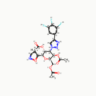 CC(=O)OC[C@H]1O[C@@H](c2ccno2)[C@H](OC(C)=O)[C@@H](n2cc(-c3cc(F)c(F)c(F)c3)nn2)[C@H]1OC(C)=O